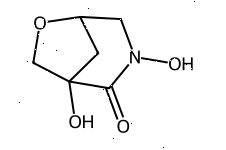 O=C1N(O)CC2CC1(O)CO2